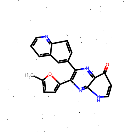 Cc1ccc(-c2nc3[nH]ccc(=O)c3nc2-c2ccc3ncccc3c2)o1